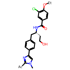 CCOc1ccc(C(=O)N[C@H](CCO)Cc2ccc(-c3cn(C)c(C(C)=O)n3)cc2)cc1Cl